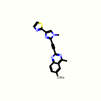 COc1ccc2nc(C#Cc3nc(-c4nccs4)cn3C)nc(C)c2c1